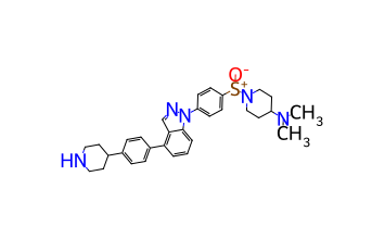 CN(C)C1CCN([S+]([O-])c2ccc(-n3ncc4c(-c5ccc(C6CCNCC6)cc5)cccc43)cc2)CC1